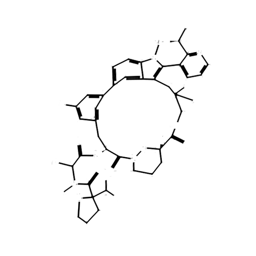 CCn1c(-c2cccnc2[C@H](C)OC)c2c3cc(ccc31)-c1cc(O)cc(c1)C[C@H](NC(=O)C(C(C)C)N(C)C(=O)C1(C(F)F)CCCO1)C(=O)N1CCC[C@H](N1)C(=O)OCC(C)(C)C2